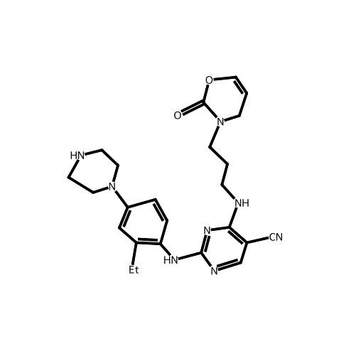 CCc1cc(N2CCNCC2)ccc1Nc1ncc(C#N)c(NCCCN2CC=COC2=O)n1